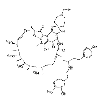 CC(CCc1ccc(O)cc1)NCCc1ccc(O)c(O)c1.CO[C@H]1/C=C/O[C@@]2(C)Oc3c(C)c(O)c4c(c3C2=O)C2=NC3(CCN(CC(C)C)CC3)NC2=C(NC(=O)/C(C)=C\C=C\[C@H](C)[C@H](O)[C@@H](C)[C@@H](O)[C@@H](C)[C@H](OC(C)=O)[C@@H]1C)C4=O